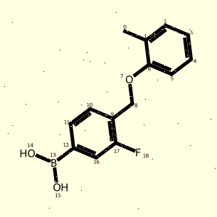 Cc1ccccc1OCc1ccc(B(O)O)cc1F